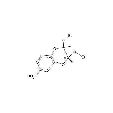 CCOC1(C)Oc2ccc(C(=O)O)cc2O[C@@]1(C)OCC